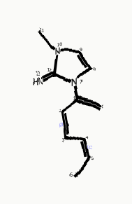 C=C(/C=C\C=C/C)n1ccn(C)c1=N